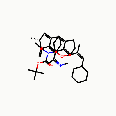 C=C(C)C(/C1=C\[C@@H](C)CN(C(=O)OC(C)(C)C)CCC1)=C(C(=C/C(C)=C\C1CCCCC1)/C1=C\CCOCCC1)\C(C)=N/C